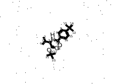 CC(C)C(NC(=O)c1ccc(C(C)(C)C)cc1)C(=O)OC(C)(C)C